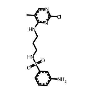 Cc1cnc(Cl)nc1NCCCNS(=O)(=O)c1cccc(N)c1